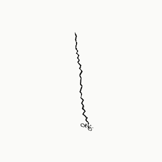 CCCCCCCCCCCCCCCCCCCCCCCCCCCCCC[N+](=O)[O-]